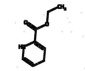 CCOC(=O)C1=CCC=CN1